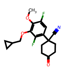 COc1c(F)cc(C2(C#N)CCC(=O)CC2)c(F)c1OCC1CC1